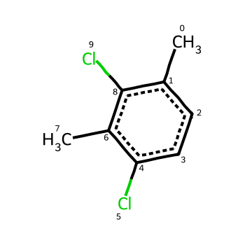 Cc1[c]cc(Cl)c(C)c1Cl